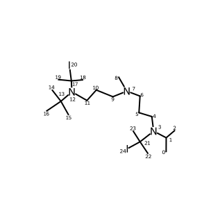 CC(C)N(CCCN(C)CCCN(C(C)(C)C)C(C)(C)I)C(C)(C)I